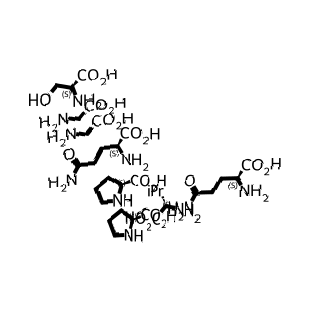 CC(C)[C@H](N)C(=O)O.NC(=O)CC[C@H](N)C(=O)O.NC(=O)CC[C@H](N)C(=O)O.NCC(=O)O.NCC(=O)O.N[C@@H](CO)C(=O)O.O=C(O)[C@@H]1CCCN1.O=C(O)[C@@H]1CCCN1